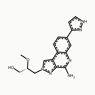 CO[C@@H](CO)Cn1cc2c(n1)c(N)nc1cc(-c3cc[nH]n3)ccc12